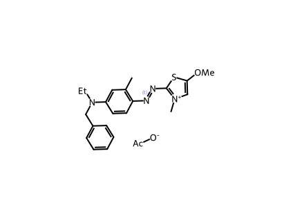 CC(=O)[O-].CCN(Cc1ccccc1)c1ccc(/N=N/c2sc(OC)c[n+]2C)c(C)c1